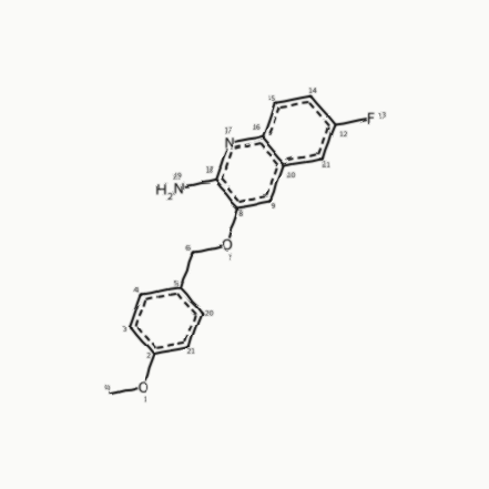 COc1ccc(COc2cc3cc(F)ccc3nc2N)cc1